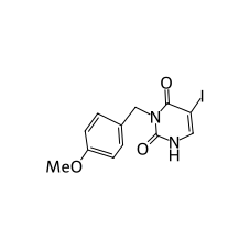 COc1ccc(Cn2c(=O)[nH]cc(I)c2=O)cc1